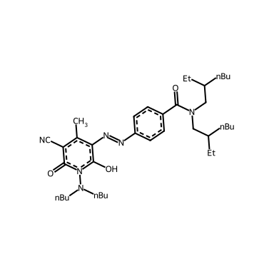 CCCCC(CC)CN(CC(CC)CCCC)C(=O)c1ccc(N=Nc2c(C)c(C#N)c(=O)n(N(CCCC)CCCC)c2O)cc1